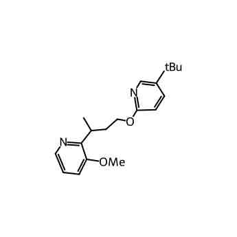 COc1cccnc1C(C)CCOc1ccc(C(C)(C)C)cn1